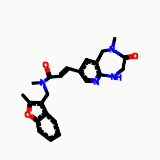 Cc1oc2ccccc2c1CN(C)C(=O)/C=C/c1cnc2c(c1)CN(C)C(=O)CN2